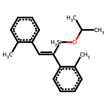 Cc1ccccc1C=C([SiH2]OC(C)C)c1ccccc1C